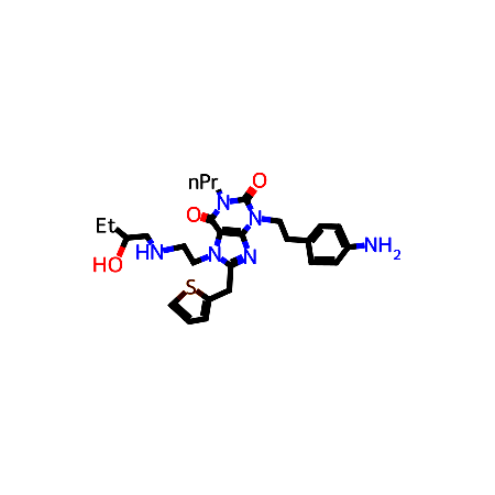 CCCn1c(=O)c2c(nc(Cc3cccs3)n2CCNCC(O)CC)n(CCc2ccc(N)cc2)c1=O